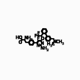 CN(C)Cc1cccc(-c2ccccc2C(Oc2cc(-c3ccc(CC(N)C(=O)O)cc3)nc(N)n2)C(F)(F)F)c1